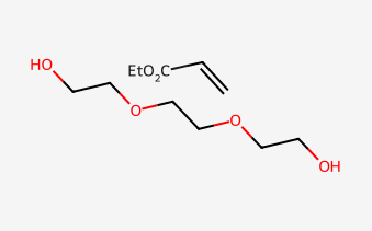 C=CC(=O)OCC.OCCOCCOCCO